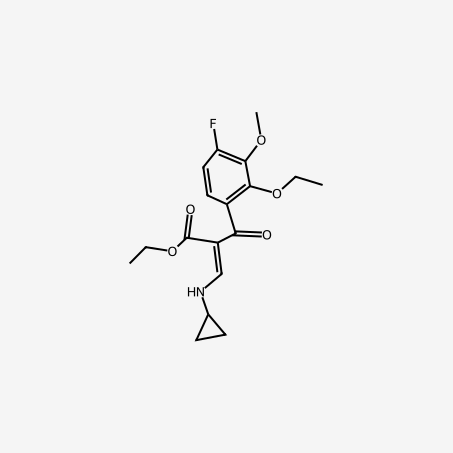 CCOC(=O)C(=CNC1CC1)C(=O)c1ccc(F)c(OC)c1OCC